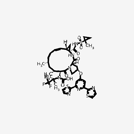 C[C@@H]1CCC=C[C@@H]2C[C@@]2(C(=O)NS(=O)(=O)C2(C)CC2)NC(=O)[C@@H]2C[C@@H](Oc3cc(-c4nccs4)nc(-c4nccs4)c3)CN2C(=O)[C@@H](N(C(=O)O)C(C)(C)C(F)(F)F)[C@H](C)C1